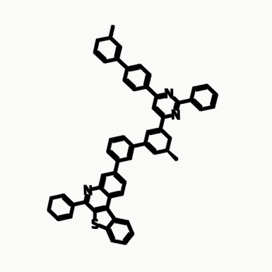 CC1C=C(c2ccc(-c3cc(C4=CC(c5cccc(-c6ccc7c(c6)nc(C6=CCCC=C6)c6sc8ccccc8c67)c5)=C[C@H](C)C4)nc(-c4ccccc4)n3)cc2)C=CC1